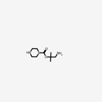 CC(C)(CN)OC(=O)N1CCNCC1